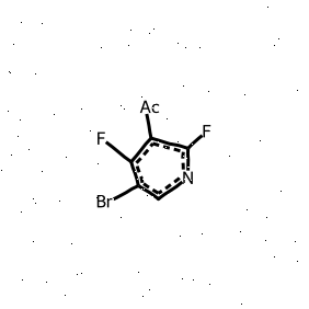 CC(=O)c1c(F)ncc(Br)c1F